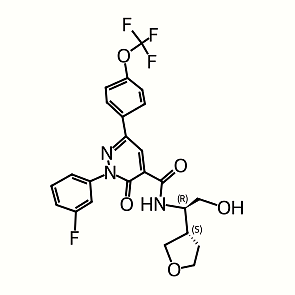 O=C(N[C@@H](CO)[C@@H]1CCOC1)c1cc(-c2ccc(OC(F)(F)F)cc2)nn(-c2cccc(F)c2)c1=O